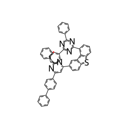 c1ccc(-c2ccc(-c3cc(-c4ccc5sc6cccc(-c7nc(-c8ccccc8)nc(-c8ccccc8)n7)c6c5c4)nc(-c4ccccc4)n3)cc2)cc1